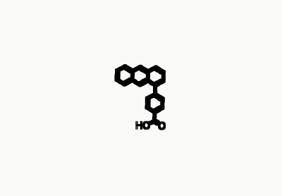 O=C(O)c1ccc(-c2cccc3cc4ccccc4cc23)cc1